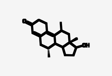 CC1C[C@]2(C)C(O)CCC2C2C1=C1CCC(=O)C=C1C[C@H]2C